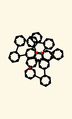 c1ccc(-c2ccccc2-c2cc(-c3ccccc3)c3c(c2)c2cc(-c4ccccc4-c4ccccc4)cc(-c4ccccc4)c2n3-c2ccccc2-c2ccccc2-n2c3ccccc3c3ccccc32)cc1